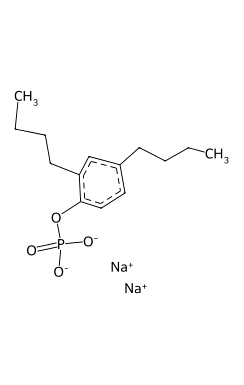 CCCCc1ccc(OP(=O)([O-])[O-])c(CCCC)c1.[Na+].[Na+]